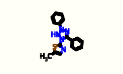 Cc1cnc(N2NN(c3ccccc3)N=C2c2ccccc2)s1